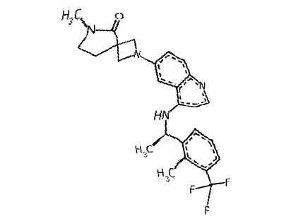 Cc1c([C@@H](C)Nc2ccnc3ccc(N4CC5(CCN(C)C5=O)C4)cc23)cccc1C(F)(F)F